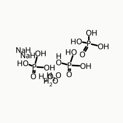 O.O.O.O=P(O)(O)O.O=P(O)(O)O.O=P(O)(O)O.[NaH].[NaH]